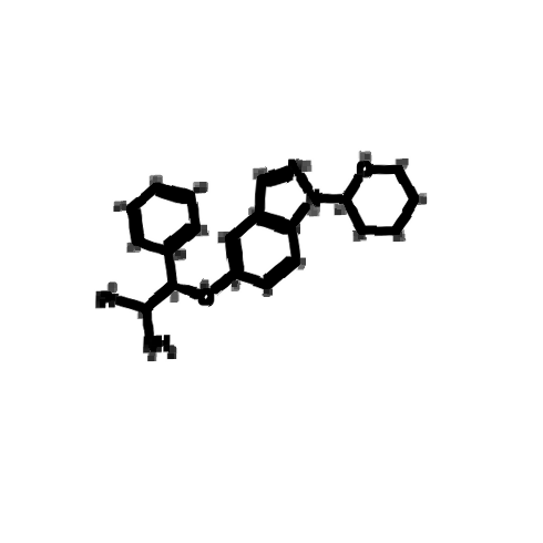 CC(C)C(N)[C@H](Oc1ccc2c(cnn2C2CCCCO2)c1)c1ccccc1